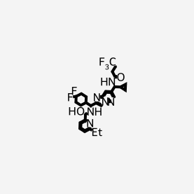 CCc1cccc(C(O)N[C@H](c2cn3ncc([C@H](NC(=O)CCC(F)(F)F)C4CC4)cc3n2)C2CCC(F)(F)CC2)n1